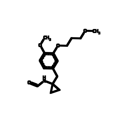 COCCCOc1cc(CC2(NC=O)CC2)ccc1OC